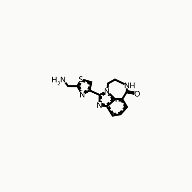 NCc1nc(-c2nc3cccc4c3n2CCNC4=O)cs1